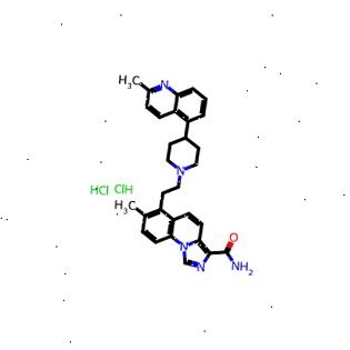 Cc1ccc2c(C3CCN(CCc4c(C)ccc5c4ccc4c(C(N)=O)ncn45)CC3)cccc2n1.Cl.Cl